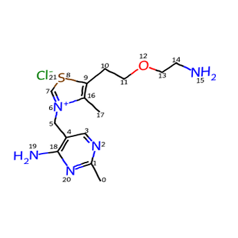 Cc1ncc(C[n+]2csc(CCOCCN)c2C)c(N)n1.[Cl-]